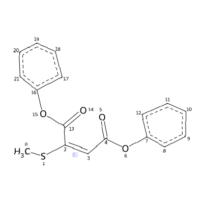 CS/C(=C/C(=O)Oc1ccccc1)C(=O)Oc1ccccc1